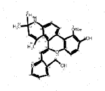 COc1c(O)ccc2c1-c1ccc3c(c1/C(=C/c1ncccc1CO)O2)C(C)=CC(C)(C)N3